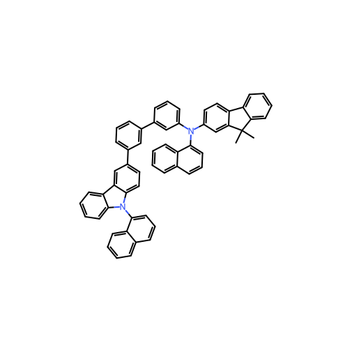 CC1(C)c2ccccc2-c2ccc(N(c3cccc(-c4cccc(-c5ccc6c(c5)c5ccccc5n6-c5cccc6ccccc56)c4)c3)c3cccc4ccccc34)cc21